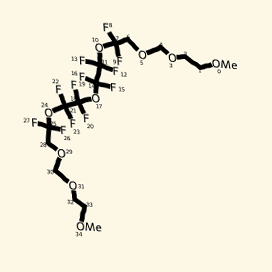 COCCOCOCC(F)(F)OC(F)(F)C(F)(F)OC(F)(F)C(F)(F)OC(F)(F)COCOCCOC